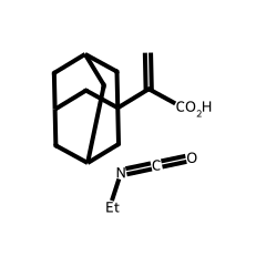 C=C(C(=O)O)C12CC3CC(CC(C3)C1)C2.CCN=C=O